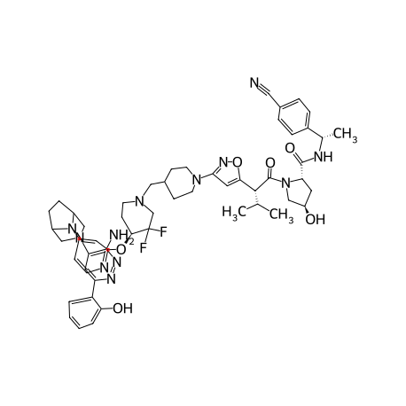 CC(C)[C@@H](C(=O)N1C[C@H](O)C[C@H]1C(=O)N[C@@H](C)c1ccc(C#N)cc1)c1cc(N2CCC(CN3CC[C@H](Oc4cc(N5C6CCC5CN(c5cc(-c7ccccc7O)nnc5N)C6)ccn4)C(F)(F)C3)CC2)no1